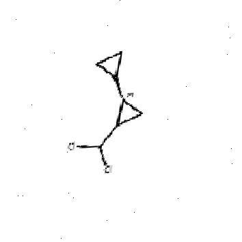 ClC(Cl)C1C[C@@H]1C1CC1